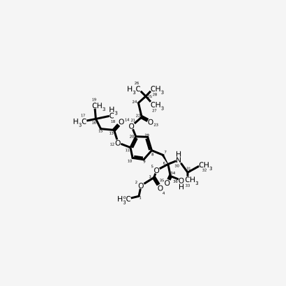 CCOC(=O)O[C@](Cc1ccc(OC(=O)CC(C)(C)C)c(OC(=O)CC(C)(C)C)c1)(NC(C)C)C(=O)O